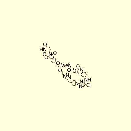 CNC(=O)COc1cc2cc(Nc3nc(N4CCC(Cc5cn(CCOCCOc6ccc7c(c6)C(=O)N(C6CCC(=O)NC6=O)C7=O)nn5)CC4)ncc3Cl)ccc2n(C)c1=O